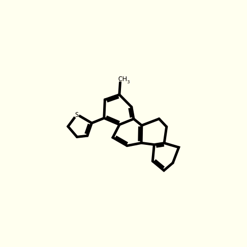 Cc1cc(C2=CCCS2)c2ccc3c(c2c1)CCC1=C3C=CCC1